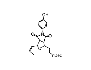 C/C=C\C1OC(CCCCCCCCCCCC)C2C(=O)N(c3ccc(O)cc3)C(=O)C12